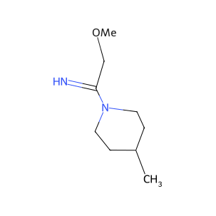 COCC(=N)N1CCC(C)CC1